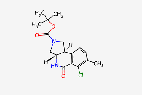 Cc1ccc2c(c1Cl)C(=O)N[C@@H]1CN(C(=O)OC(C)(C)C)C[C@@H]21